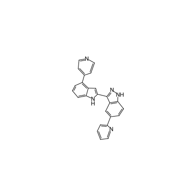 c1ccc(-c2ccc3[nH]nc(-c4cc5c(-c6ccncc6)cccc5[nH]4)c3c2)nc1